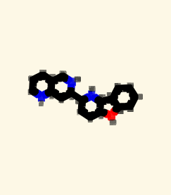 c1cnc2cc(-c3ccc4oc5ccccc5c4n3)ncc2c1